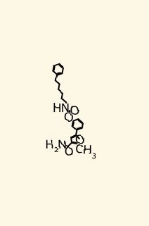 Cc1oc(-c2cccc(OC(=O)NCCCCCCc3ccccc3)c2)cc1C(N)=O